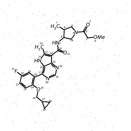 COCC(=O)N1CC(C)C(NC(=O)c2c(C)[nH]c3c(-c4cc(F)ccc4OCC4CC4)ncnc23)C1